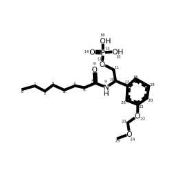 CCCCCCCC(=O)NC(COP(=O)(O)O)c1cccc(OCOC)c1